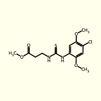 COC(=O)CCNC(=S)Nc1cc(OC)c(Cl)cc1OC